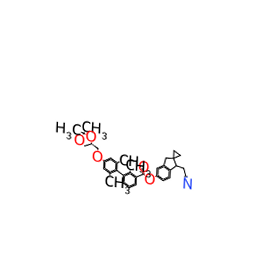 Cc1cc(OC[C@H]2COC(C)(C)O2)cc(C)c1-c1cccc(C(=O)Oc2ccc3c(c2)CC2(CC2)C3CC#N)c1C